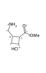 COC(=O)C1CCC1CN.Cl